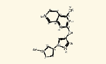 CC(=O)N1CC[C@H](n2cc(Oc3nc(O)c4ccncc4n3)cn2)C1